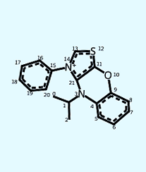 CC(C)N1c2ccccc2Oc2sc[n+](-c3ccccc3)c21